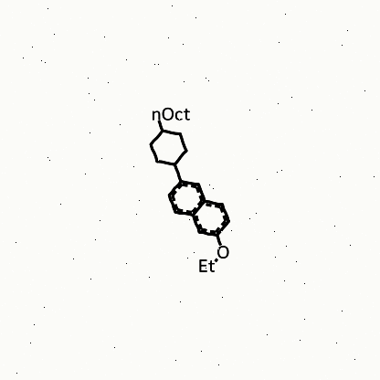 CCCCCCCCC1CCC(c2ccc3cc(OCC)ccc3c2)CC1